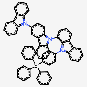 c1ccc([Si](c2ccccc2)(c2ccccc2)c2ccc(-n3c4ccccc4c4cccc(-n5c6ccccc6c6cc(-n7c8ccccc8c8ccccc87)ccc65)c43)cc2)cc1